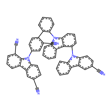 N#Cc1ccc2c(c1)c1ccccc1n2-c1cccc2c1c1ccccc1n2-c1ccccc1-c1ccc(-n2c3ccc(C#N)cc3c3cccc(C#N)c32)cc1C#N